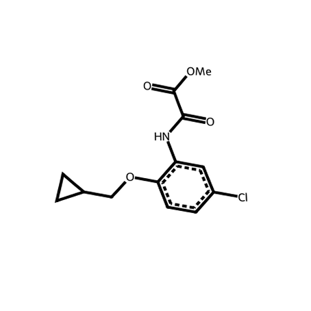 COC(=O)C(=O)Nc1cc(Cl)ccc1OCC1CC1